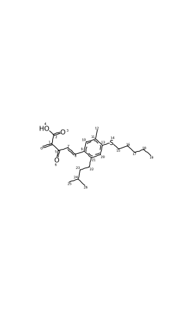 C=C(C(=O)O)C(=O)/C=C/c1cc(C)c(SCCCCC)cc1CCC(C)C